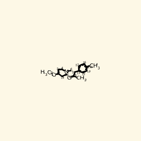 COC1CCN(C[C@@H](C(C)=O)c2ccc(C)cc2)CC1